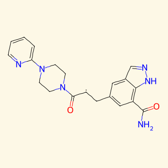 NC(=O)c1cc(C[CH]C(=O)N2CCN(c3ccccn3)CC2)cc2cn[nH]c12